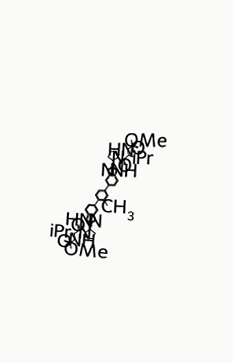 COC(=O)NC(C(=O)N1CCCC1c1nc2cc(-c3ccc(-c4ccc5[nH]c(C6CCCN6C(=O)[C@@H](NC(=O)OC)C(C)C)nc5c4)c(C)c3)ccc2[nH]1)C(C)C